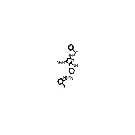 CNc1cc(NC[C@H](C)c2ccccc2)nc(N[C@H]2CC[C@@H](C(=O)NCc3ccccc3CF)CC2)n1